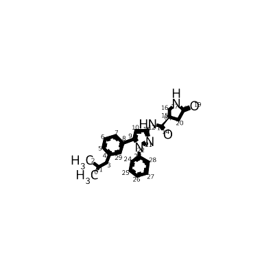 CC(C)Cc1cccc(-c2cc(NC(=O)[C@H]3CNC(=O)C3)nn2-c2ccccc2)c1